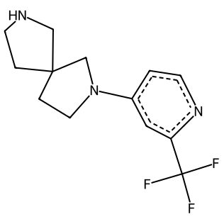 FC(F)(F)c1cc(N2CCC3(CCNC3)C2)ccn1